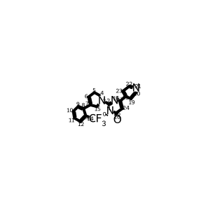 Cn1c(N2CCC=C(c3ccccc3C(F)(F)F)C2)nc(-c2ccncc2)cc1=O